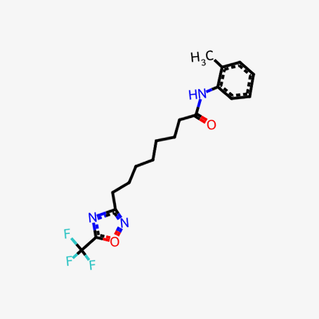 Cc1ccccc1NC(=O)CCCCCCCc1noc(C(F)(F)F)n1